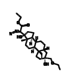 CCOC[C@@]1(O)CC[C@@]2(CC)[C@H](CC[C@@H]3[C@@H]2CC[C@@]2(C)[C@H]3CCC2(O)C(=[N+]=[N-])C(=O)OCC)C1